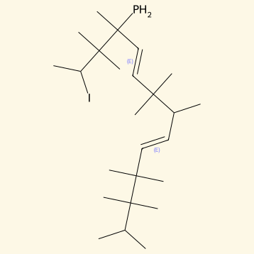 CC(/C=C/C(C)(C)C(C)(C)C(C)C)C(C)(C)/C=C/C(C)(P)C(C)(C)C(C)I